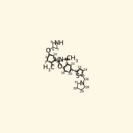 Cc1ccc(OC2CNC2)cc1C(=O)N[C@H](C)c1cccc(-c2ccc(CN3CCCC3)s2)c1